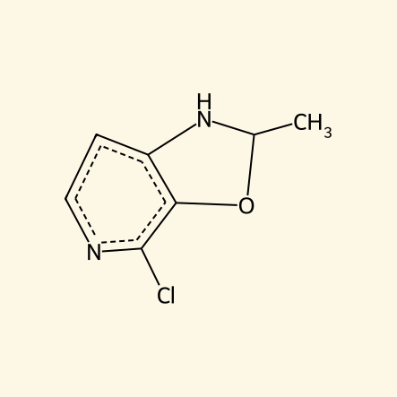 CC1Nc2ccnc(Cl)c2O1